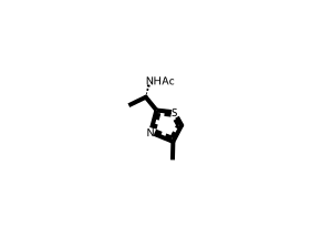 CC(=O)N[C@@H](C)c1nc(C)cs1